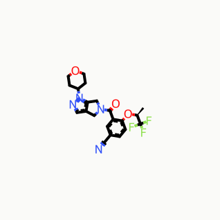 C[C@H](Oc1ccc(C#N)cc1C(=O)N1Cc2cnn(C3CCOCC3)c2C1)C(F)(F)F